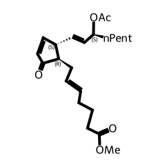 CCCCC[C@@H](C=C[C@H]1C=CC(=O)[C@@H]1CC=CCCCC(=O)OC)OC(C)=O